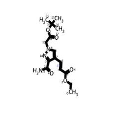 CCOC(=O)/C=C/c1cn(CC(=O)OC(C)(C)C)nc1C(N)=O